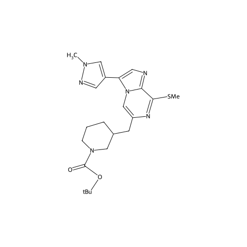 CSc1nc(CC2CCCN(C(=O)OC(C)(C)C)C2)cn2c(-c3cnn(C)c3)cnc12